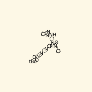 CC(C)(C)OC(=O)N1CCN(C2CCN(c3ccc(N(C(=O)NCc4ccccc4)C4CCC(Nc5ncc6ccccc6n5)CC4)cc3)CC2)CC1